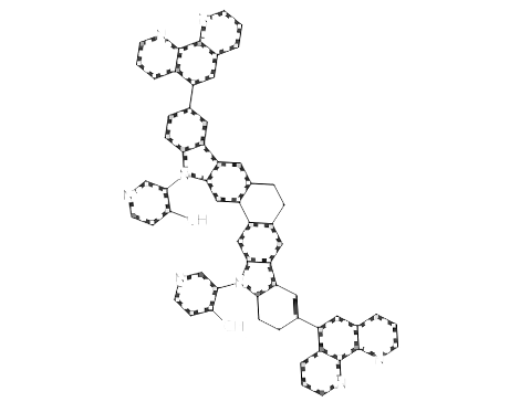 Cc1ccncc1-n1c2c(c3cc4c(cc31)-c1cc3c(cc1CC4)c1cc(-c4cc5cccnc5c5ncccc45)ccc1n3-c1cnccc1C)C=C(c1cc3cccnc3c3ncccc13)CC2